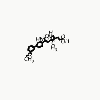 CCOc1cccc(-c2ccc3c(c2)NC(=O)C3=Cc2[nH]cc(CCC(=O)O)c2C)c1